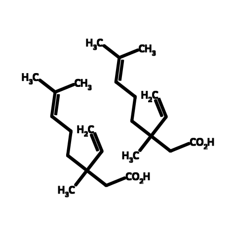 C=CC(C)(CCC=C(C)C)CC(=O)O.C=CC(C)(CCC=C(C)C)CC(=O)O